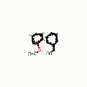 CC(C)Cc1ccccc1.O=COc1ccccc1